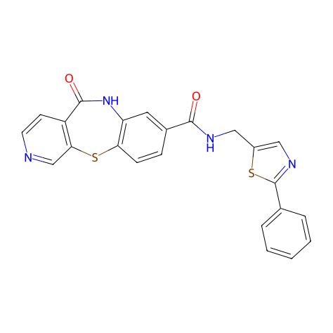 O=C(NCc1cnc(-c2ccccc2)s1)c1ccc2c(c1)NC(=O)c1ccncc1S2